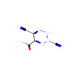 N#CC1=NNN(C#N)N=C1C(=O)Cl